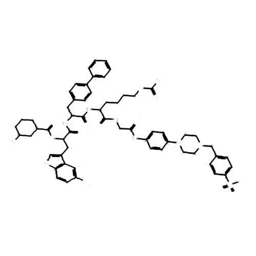 N=C(N)NCCCCC(NC(=O)C(Cc1ccc(-c2ccccc2)cc1)NC(=O)C(Cc1c[nH]c2ccc(O)cc12)NC(=O)C1CCCC(N)C1)C(=O)NCC(=O)Nc1ccc(N2CCN(Cc3ccc(S(=O)(=O)F)cc3)CC2)cc1